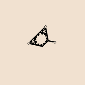 [O]c1[c]c2oc2c2oc12